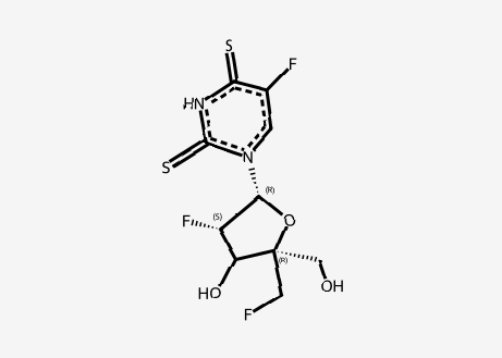 OC[C@@]1(CF)O[C@@H](n2cc(F)c(=S)[nH]c2=S)[C@@H](F)C1O